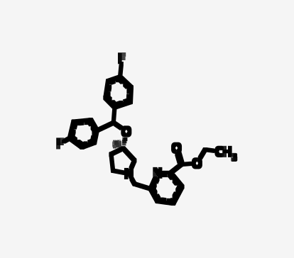 CCOC(=O)c1cccc(CN2CC[C@H](OC(c3ccc(F)cc3)c3ccc(F)cc3)C2)n1